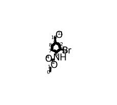 CCOC(=O)Nc1ccc(C=O)cc1Br